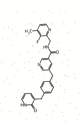 Cc1ccnc(CNC(=O)c2cncc(Cc3ccc(Cc4ccc[nH]c4=O)cc3)c2)c1F